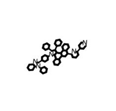 c1ccc(-c2c(-c3ccccc3)n(-c3ccc(-c4nc5ccccc5n4-c4ccccc4)cc3)c3c4ccccc4c4cc(-c5cccc(-c6ccncc6)n5)c5ccccc5c4c23)cc1